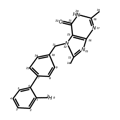 [2H]c1ccccc1-c1ccc(Cn2c(C)nc3nc(C)[nH]c(=O)c32)cc1